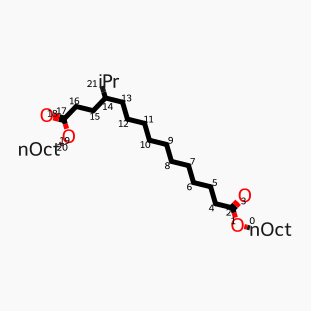 CCCCCCCCOC(=O)CCCCCCCCCCC(CCC(=O)OCCCCCCCC)C(C)C